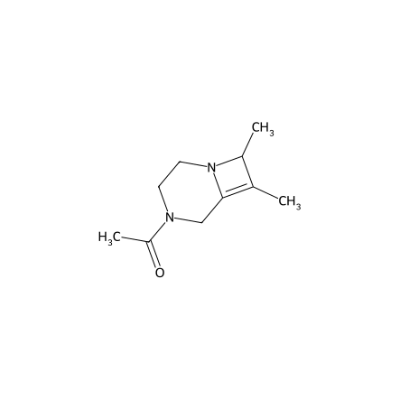 CC(=O)N1CCN2C(=C(C)C2C)C1